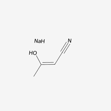 CC(O)=CC#N.[NaH]